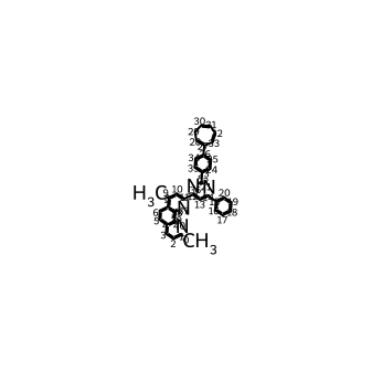 Cc1ccc2ccc3c(C)cc(-c4cc(-c5ccccc5)nc(-c5ccc(C6=CCC=CC=C6)cc5)n4)nc3c2n1